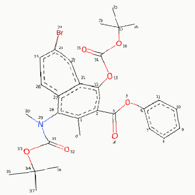 Cc1c(C(=O)Oc2ccccc2)c(OC(=O)OC(C)(C)C)c2cc(Br)ccc2c1N(C)C(=O)OC(C)(C)C